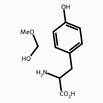 COCO.NC(Cc1ccc(O)cc1)C(=O)O